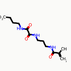 C=C(C)C(=O)NCCCNC(=O)C(=O)NCCCC(=O)OCC